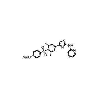 COc1ccc(S(=O)(=O)c2c(C)cc(-c3csc(Nc4cnccn4)n3)cc2C)cc1